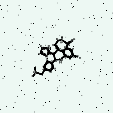 CN(C)Cc1ccc(C2Nc3cc(F)cc4c3C(=CCNC4=O)C2c2ncn[nH]2)cc1